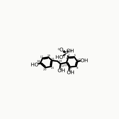 O=P(O)(O)c1cc(O)cc(O)c1C(O)Cc1ccc(O)cc1